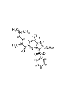 CNc1nn2c(C)cc(C(=O)N(C)CCN(C)C)nc2c1S(=O)(=O)c1ccccc1